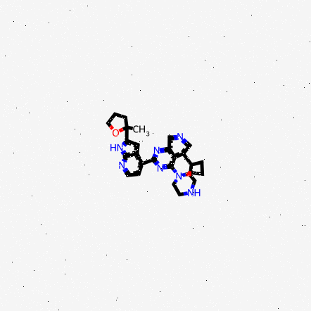 CC1(c2cc3c(-c4nc(N5CCNCC5)c5c(C6CCC6)cncc5n4)ccnc3[nH]2)CCCO1